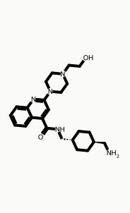 NC[C@H]1CC[C@H](CNC(=O)c2cc(N3CCN(CCO)CC3)nc3ccccc23)CC1